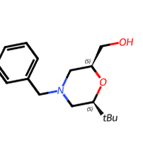 CC(C)(C)[C@H]1CN(Cc2ccccc2)C[C@@H](CO)O1